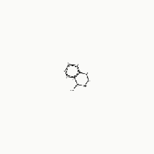 [O]C1NCCc2ccccc21